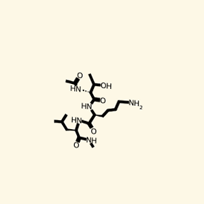 CNC(=O)[C@@H](CC(C)C)NC(=O)[C@H](CCCCN)NC(=O)[C@H](NC(C)=O)C(C)O